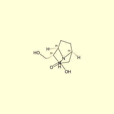 O=C(O)N1[C@H]2CC[C@@H]1[C@@H](CO)NC2